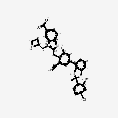 CC1(c2ccc(Cl)cc2F)Oc2cccc(-c3cc(F)c(Cc4nc5ccc(C(=O)O)cc5n4C[C@@H]4CCO4)c(C#N)c3)c2O1